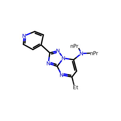 CCCN(CCC)c1cc(CC)nc2nc(-c3ccncc3)nn12